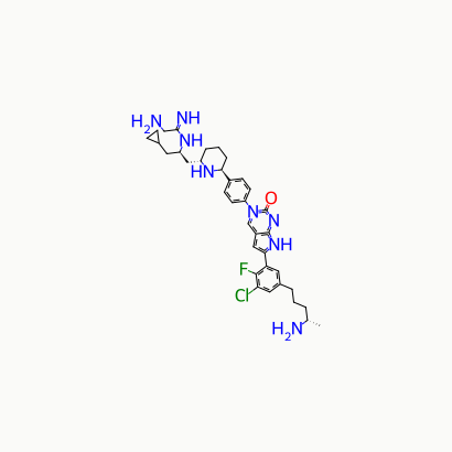 C[C@H](N)CCCc1cc(Cl)c(F)c(-c2cc3cn(-c4ccc([C@@H]5CCC[C@@H](C[C@@H](CC6CC6)NC(=N)CN)N5)cc4)c(=O)nc3[nH]2)c1